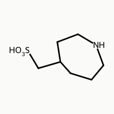 O=S(=O)(O)CC1CCCNCC1